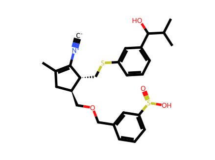 [C-]#[N+]C1=C(C)C[C@H](COCc2cccc(S(=O)O)c2)[C@H]1CSc1cccc(C(O)C(C)C)c1